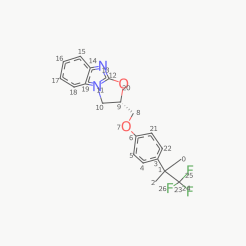 CC(C)(c1ccc(OC[C@@H]2Cn3c(nc4ccccc43)O2)cc1)C(F)(F)F